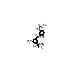 CC(C)(C)OC(=O)Nc1ccc(F)c(NC(=O)c2cc(C(F)(F)F)cc(C(C)(C)C#N)c2)c1